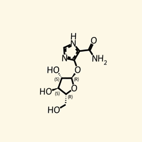 NC(=O)c1[nH]cnc1O[C@H]1O[C@H](CO)[C@@H](O)[C@@H]1O